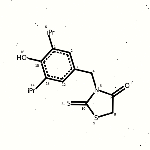 CC(C)c1cc(CN2C(=O)CSC2=S)cc(C(C)C)c1O